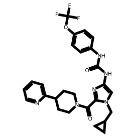 O=C(Nc1ccc(OC(F)(F)F)cc1)Nc1cn(CC2CC2)c(C(=O)N2CCC(c3ccccn3)CC2)n1